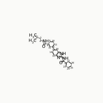 CC(C)CCNC(=O)c1cccc(-c2ccc3nc(NC(=O)c4ccccc4)[nH]c3c2)c1